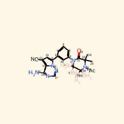 BC1(B)N(c2cccc(-c3cc(C#N)c4c(N)ncnn34)c2)C(=O)C(C)(C)N(C(C)=O)C1(B)B